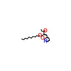 CCCCCCCCCCOC(=O)/C(=C\c1cccnc1)C(=O)CC